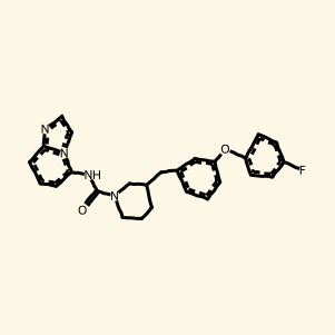 O=C(Nc1cccc2nccn12)N1CCCC(Cc2cccc(Oc3ccc(F)cc3)c2)C1